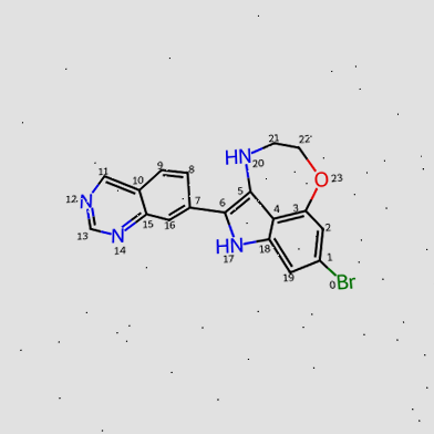 Brc1cc2c3c(c(-c4ccc5cncnc5c4)[nH]c3c1)NCCO2